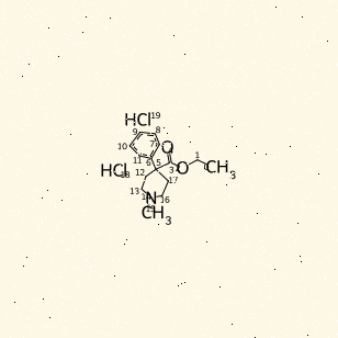 CCOC(=O)C1(c2ccccc2)CCN(C)CC1.Cl.Cl